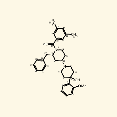 COc1ccccc1C1(O)CCN([C@H]2CCN(C(=O)c3cc(C)cc(C)c3)[C@H](Cc3ccccc3)C2)CC1